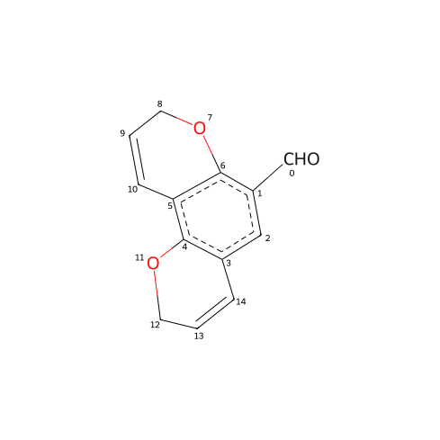 O=Cc1cc2c(c3c1OCC=C3)OCC=C2